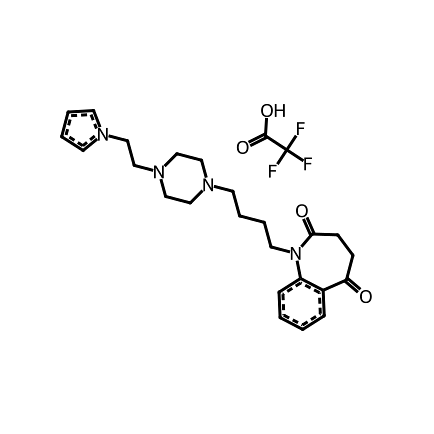 O=C(O)C(F)(F)F.O=C1CCC(=O)N(CCCCN2CCN(CCn3cccc3)CC2)c2ccccc21